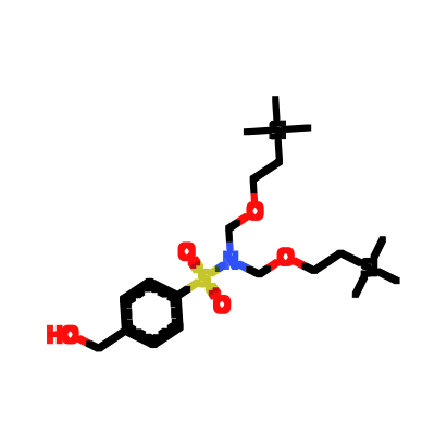 C[Si](C)(C)CCOCN(COCC[Si](C)(C)C)S(=O)(=O)c1ccc(CO)cc1